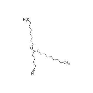 CCCCCCCCOC(CCCCC#N)OCCCCCCCC